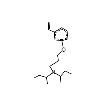 C=Cc1cccc(OCCCN(C(C)CC)C(C)CC)c1